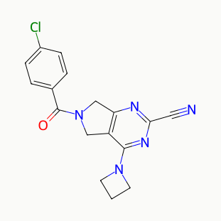 N#Cc1nc2c(c(N3CCC3)n1)CN(C(=O)c1ccc(Cl)cc1)C2